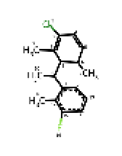 CC1=C(Cl)C=CC(C)C1C(C)c1cccc(F)c1C